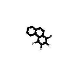 Fc1c(F)c(F)c2c(ccc3ccccc32)c1F